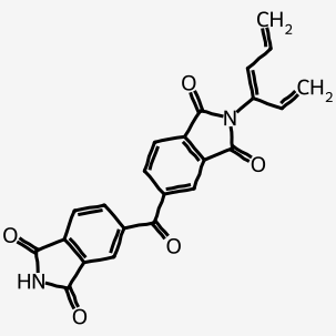 C=C/C=C(\C=C)N1C(=O)c2ccc(C(=O)c3ccc4c(c3)C(=O)NC4=O)cc2C1=O